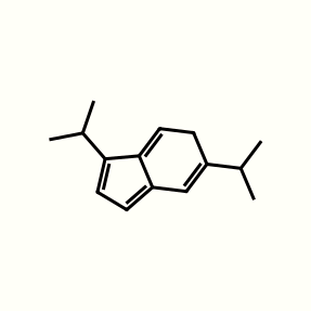 CC(C)C1=CC2=CC=C(C(C)C)C2=CC1